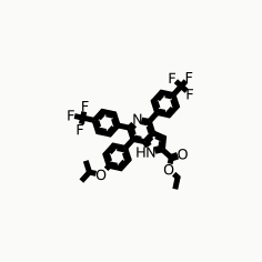 CCOC(=O)c1cc2c(-c3ccc(C(F)(F)F)cc3)nc(-c3ccc(C(F)(F)F)cc3)c(-c3ccc(OC(C)C)cc3)c2[nH]1